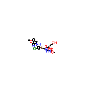 CCOC(=O)NCCN(CCCSc1ccc(Cl)c(CNC2(c3cnccc3-c3ccccc3OC3CC3)CC2)c1)C(=O)C(O)CCCCO